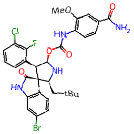 COc1cc(C(N)=O)ccc1NC(=O)O[C@H]1N[C@@H](CC(C)(C)C)[C@@]2(C(=O)Nc3cc(Br)ccc32)[C@H]1c1cccc(Cl)c1F